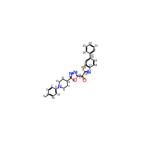 Cc1ccc(N2CCC(c3nnc(C(=O)c4nc5ccc(-c6ccccc6)cc5s4)o3)CC2)cc1